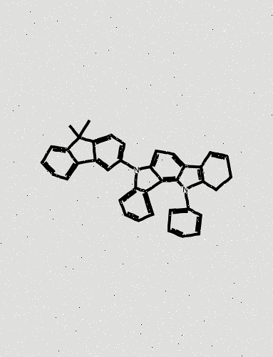 CC1(C)c2ccccc2-c2cc(-n3c4ccccc4c4c5c(ccc43)c3c(n5-c4ccccc4)CCC=C3)ccc21